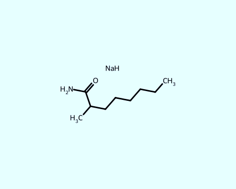 CCCCCCC(C)C(N)=O.[NaH]